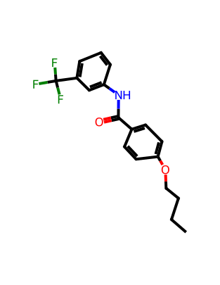 CCCCOc1ccc(C(=O)Nc2cccc(C(F)(F)F)c2)cc1